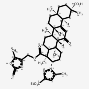 CCOC(=O)c1cc(C)n([C@H]2CC[C@@]3(C)C(CC[C@]4(C)[C@@H]3C(=O)C=C3[C@@H]5C[C@@](C)(C(=O)O)CC[C@]5(C)CC[C@]34C)[C@]2(C)C(=O)OCc2oc(=O)oc2C)n1